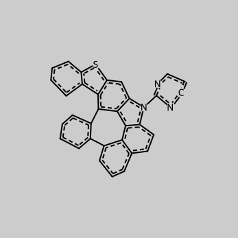 c1cnc(-n2c3cc4sc5ccccc5c4c4c3c3c5c(cccc5ccc32)-c2ccccc2-4)nc1